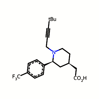 CC(C)(C)C#CCN1CC[C@@H](CC(=O)O)C[C@H]1c1ccc(C(F)(F)F)cc1